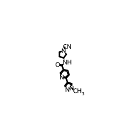 Cn1cc(-c2ccc(C(=O)N[C@@H]3CCN(C#N)C3)cn2)cn1